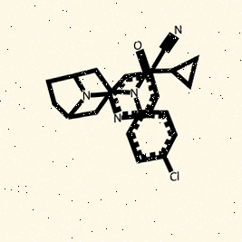 N#Cc1ccnc(N2C3CCC2CC(N(C(=O)C2CC2)c2ccc(Cl)cc2)C3)c1